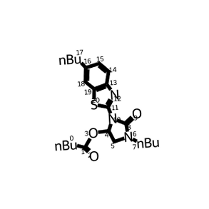 CCCCC(=O)OC1CN(CCCC)C(=O)N1c1nc2ccc(CCCC)cc2s1